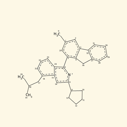 Cc1cc2c(c(-c3nc(C4CCCC4)cc4c(CC(C)C)cccc34)c1)Cc1ccccc1-2